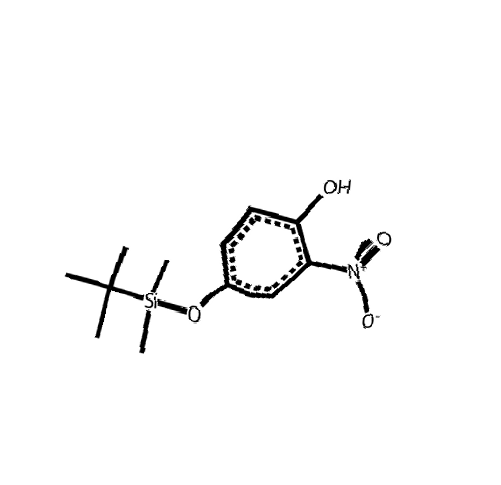 CC(C)(C)[Si](C)(C)Oc1ccc(O)c([N+](=O)[O-])c1